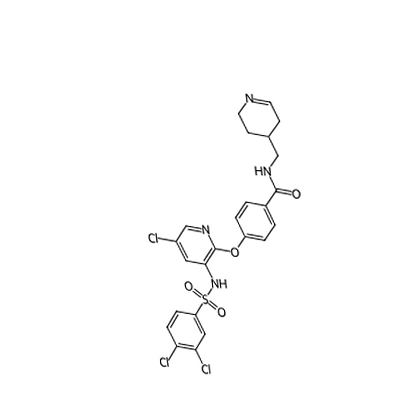 O=C(NCC1CC=NCC1)c1ccc(Oc2ncc(Cl)cc2NS(=O)(=O)c2ccc(Cl)c(Cl)c2)cc1